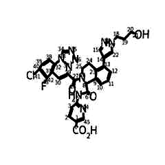 O=C(O)c1ccc(NC(=O)C2c3cccc(-c4cnn(CCCO)c4)c3CCN2C(=O)/C=C/c2c(-n3cnnn3)ccc(Cl)c2F)nc1